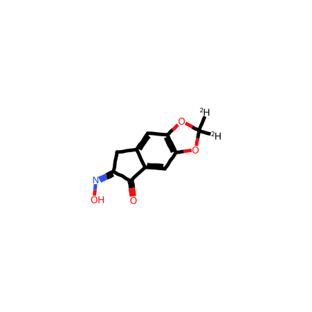 [2H]C1([2H])Oc2cc3c(cc2O1)C(=O)/C(=N\O)C3